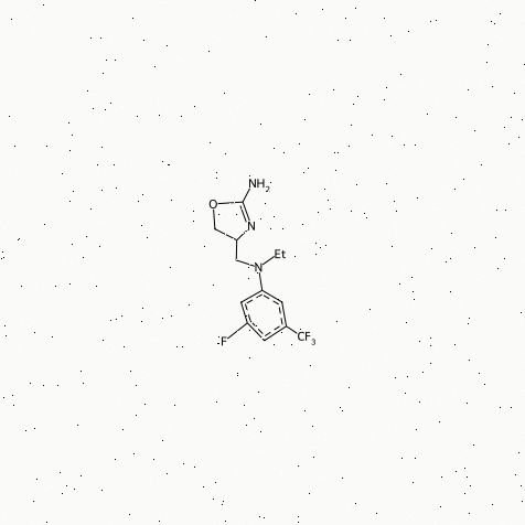 CCN(CC1COC(N)=N1)c1cc(F)cc(C(F)(F)F)c1